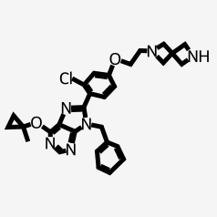 CC1(Oc2ncnc3c2nc(-c2ccc(OCCN4CC5(CNC5)C4)cc2Cl)n3Cc2ccccc2)CC1